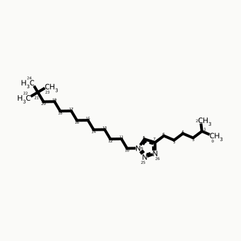 CC(C)CCCCc1cn(CCCCCCCCCCCC(C)(C)C)nn1